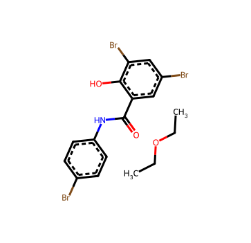 CCOCC.O=C(Nc1ccc(Br)cc1)c1cc(Br)cc(Br)c1O